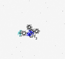 CN(N=Cc1ccc(C(F)(F)F)cc1)c1nc(-c2ccccc2)cc(-c2ccccc2)n1